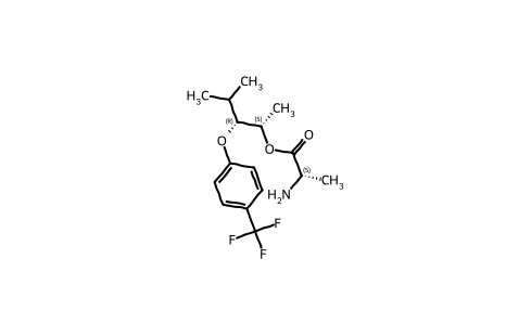 CC(C)[C@@H](Oc1ccc(C(F)(F)F)cc1)[C@H](C)OC(=O)[C@H](C)N